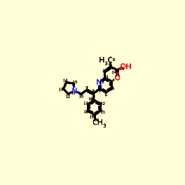 CC(=Cc1cccc(C(=CCN2CCCC2)c2ccc(C)cc2)n1)C(=O)O